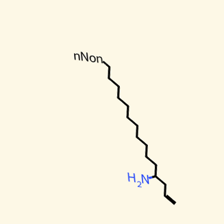 C=CCC(N)CCCCCCCCCCCCCCCCCCCC